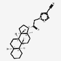 C[C@]12CC[C@H]3[C@@H](CC[C@@H]4CCCC[C@@H]43)[C@@H]1CC[C@@H]2C(=O)Cn1cc(C#N)cn1